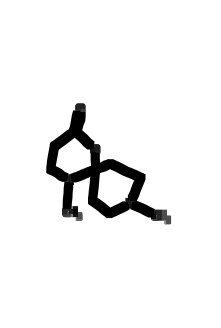 CN1CCC2(CC1)OC(=O)CCN2C